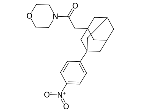 O=C(CC12CC3CC(C1)CC(c1ccc([N+](=O)[O-])cc1)(C3)C2)N1CCOCC1